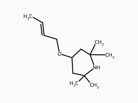 C/C=C/COC1CC(C)(C)NC(C)(C)C1